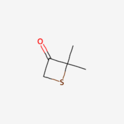 CC1(C)SCC1=O